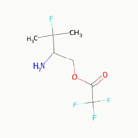 CC(C)(F)C(N)COC(=O)C(F)(F)F